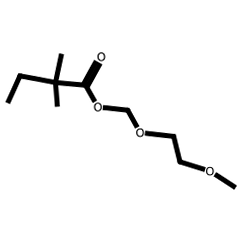 CCC(C)(C)C(=O)OCOCCOC